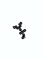 Cc1ccc2c(c1)C(C)(C)c1cc(N(c3ccc(-c4c5ccccc5c(-c5ccc6sc7ccccc7c6c5)c5cc6ccccc6cc45)cc3)c3ccc4c(c3)C(C)(C)c3ccccc3-4)ccc1-2